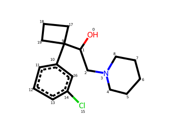 OC(CN1CCCCC1)C1(c2cccc(Cl)c2)CCC1